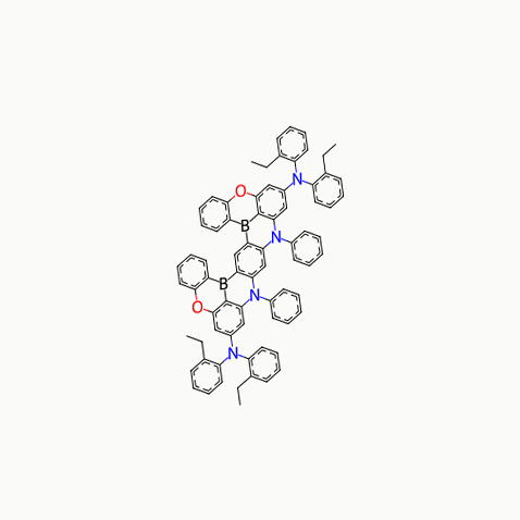 CCc1ccccc1N(c1cc2c3c(c1)N(c1ccccc1)c1cc4c(cc1B3c1ccccc1O2)B1c2ccccc2Oc2cc(N(c3ccccc3CC)c3ccccc3CC)cc(c21)N4c1ccccc1)c1ccccc1CC